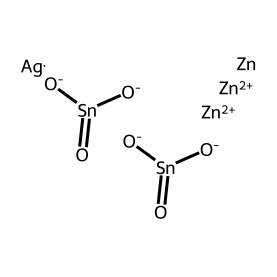 [Ag].[O]=[Sn]([O-])[O-].[O]=[Sn]([O-])[O-].[Zn+2].[Zn+2].[Zn]